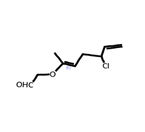 C=CC(Cl)C/C=C(\C)OCC=O